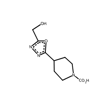 O=C(O)N1CCC(c2nnc(CO)o2)CC1